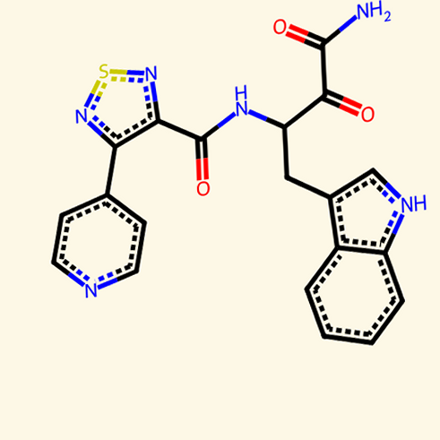 NC(=O)C(=O)C(Cc1c[nH]c2ccccc12)NC(=O)c1nsnc1-c1ccncc1